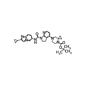 CC(C)(C)OC(=O)N1CCN(c2ccnc3c2CCN3C(=O)Nc2ccc3nc(C4CC4)cn3c2)CC12CC2